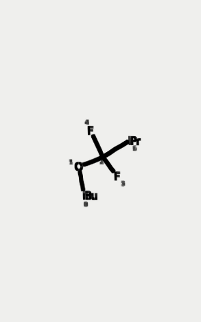 CCC(C)OC(F)(F)C(C)C